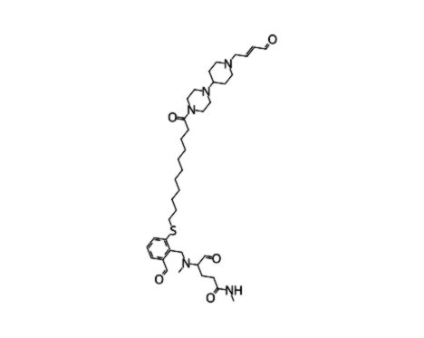 CNC(=O)CCC(C=O)N(C)Cc1c(C=O)cccc1SCCCCCCCCCCC(=O)N1CCN(C2CCN(C/C=C/C=O)CC2)CC1